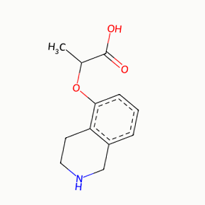 CC(Oc1cccc2c1CCNC2)C(=O)O